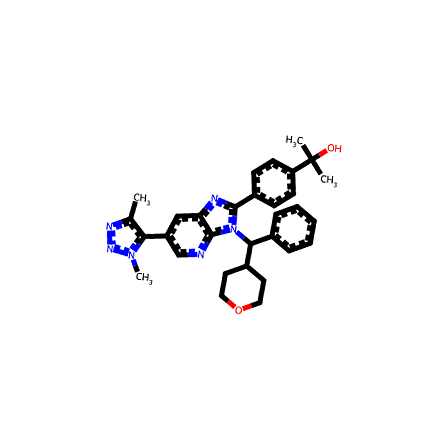 Cc1nnn(C)c1-c1cnc2c(c1)nc(-c1ccc(C(C)(C)O)cc1)n2C(c1ccccc1)C1CCOCC1